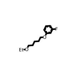 CCOCCCCCOc1cc[c]c(F)c1